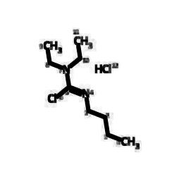 CCCCN=C(Cl)N(CC)CC.Cl